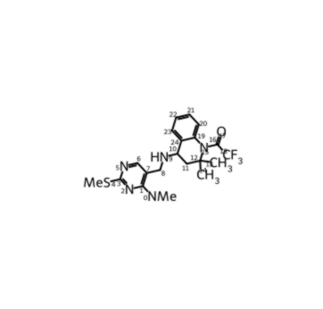 CNc1nc(SC)ncc1CNC1CC(C)(C)N(C(=O)C(F)(F)F)c2ccccc21